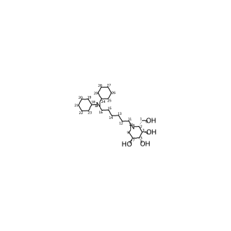 OC[C@@H]1[C@@H](O)[C@H](O)[C@@H](O)CN1CCCCCCN(C1CCCCC1)C1CCCCC1